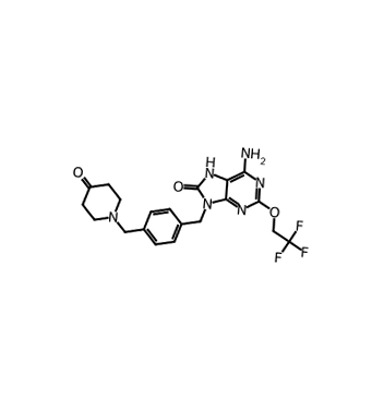 Nc1nc(OCC(F)(F)F)nc2c1[nH]c(=O)n2Cc1ccc(CN2CCC(=O)CC2)cc1